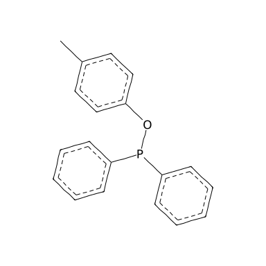 Cc1ccc(OP(c2ccccc2)c2ccccc2)cc1